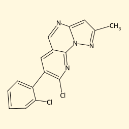 Cc1cc2ncc3cc(-c4ccccc4Cl)c(Cl)nc3n2n1